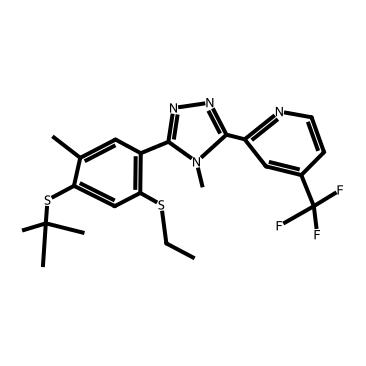 CCSc1cc(SC(C)(C)C)c(C)cc1-c1nnc(-c2cc(C(F)(F)F)ccn2)n1C